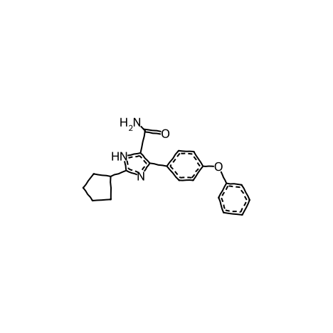 NC(=O)c1[nH]c(C2CCCC2)nc1-c1ccc(Oc2ccccc2)cc1